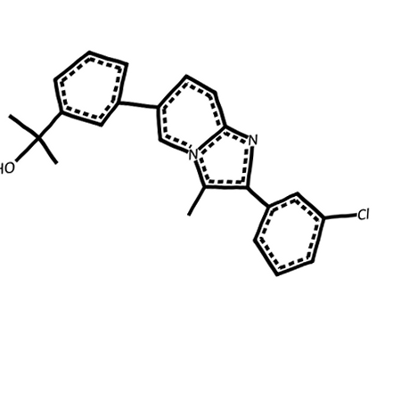 Cc1c(-c2cccc(Cl)c2)nc2ccc(-c3cccc(C(C)(C)O)c3)cn12